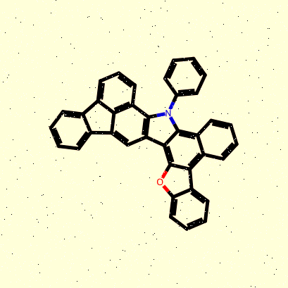 c1ccc(-n2c3c4cccc5c4c(cc3c3c4oc6ccccc6c4c4ccccc4c32)-c2ccccc2-5)cc1